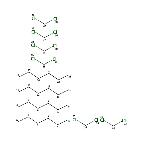 CCCCCC.CCCCCC.CCCCCC.CCCCCC.ClCCl.ClCCl.ClCCl.ClCCl.ClCCl.ClCCl